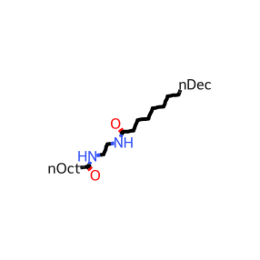 CCCCCCCCCCCCCCCCCC(=O)NCCNC(=O)CCCCCCCC